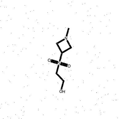 CN1CC(S(=O)(=O)CCO)C1